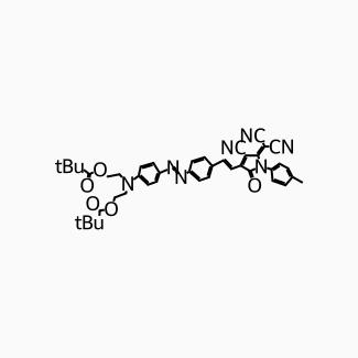 Cc1ccc(N2C(=O)C(/C=C/c3ccc(/N=N/c4ccc(N(CCOC(=O)C(C)(C)C)CCOC(=O)C(C)(C)C)cc4)cc3)=C(C#N)C2=C(C#N)C#N)cc1